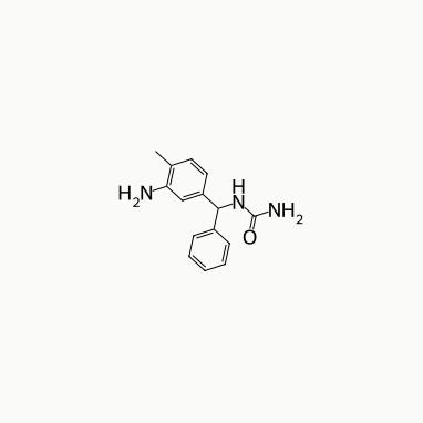 Cc1ccc(C(NC(N)=O)c2ccccc2)cc1N